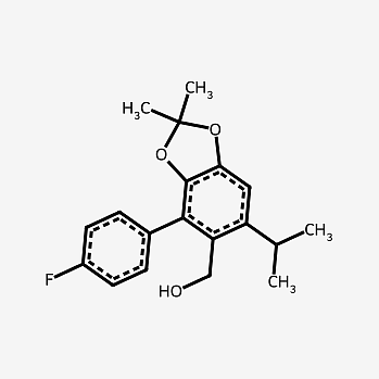 CC(C)c1cc2c(c(-c3ccc(F)cc3)c1CO)OC(C)(C)O2